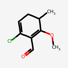 COC1=C(C=O)C(Cl)=CCC1C